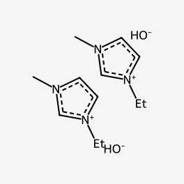 CC[n+]1ccn(C)c1.CC[n+]1ccn(C)c1.[OH-].[OH-]